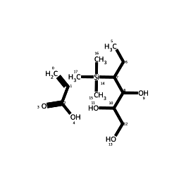 C=CC(=O)O.CCC(C(O)C(O)CO)[Si](C)(C)C